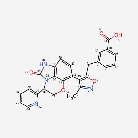 Cc1noc(Cc2cccc(C(=O)O)c2)c1-c1ccc2[nH]c(=O)n3c2c1OCC3c1ccccn1